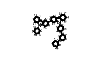 c1ccc(-c2cccc(-c3ccc(-n4c5ccccc5c5ccc(-c6ccc7c(c6)c6ccccc6n7-c6ccccc6)cc54)cc3)c2)cc1